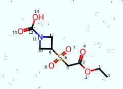 CCOC(=O)CS(=O)(=O)C1CN(C(=O)O)C1